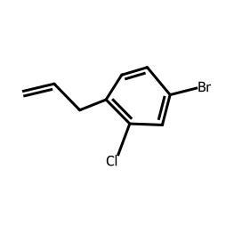 C=CCc1ccc(Br)cc1Cl